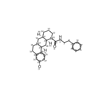 O=C(NCCc1ccccc1)N1CCC[C@@H]2CN3CCc4cc(Cl)ccc4[C@@H]3C[C@@H]21